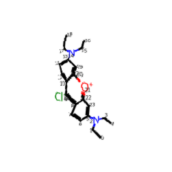 CCN(CC)c1ccc2cc3ccc(N(CC)CC)cc3[o+]c2c1.[Cl-]